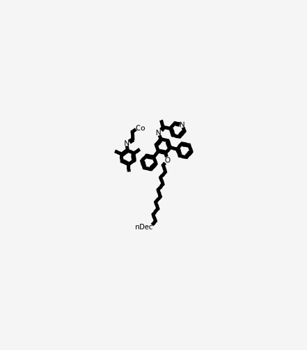 CCCCCCCCCCCCCCCCCCCCOc1c(-c2ccccc2)cc(N=C(C)c2cccnc2)cc1-c1ccccc1.Cc1cc(C)c(N=C[CH2][Co])c(C)c1